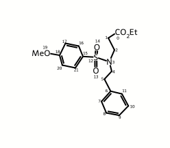 CCOC(=O)CCN(CCc1ccccc1)S(=O)(=O)c1ccc(OC)cc1